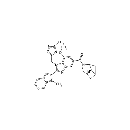 COc1cc(C(=O)N2CC3CC4CC2[C@H]43)cc2nc(-c3cc4ccccc4n3C)n(Cc3cnn(C)c3)c12